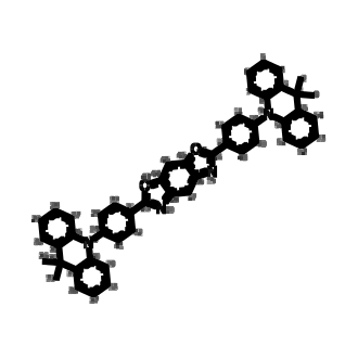 CC1(C)c2ccccc2N(c2ccc(-c3nc4cc5nc(-c6ccc(N7c8ccccc8C(C)(C)c8ccccc87)cc6)oc5cc4o3)cc2)c2ccccc21